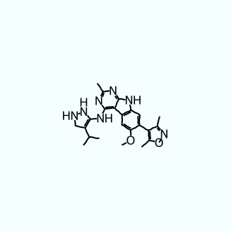 COc1cc2c(cc1-c1c(C)noc1C)[nH]c1nc(C)nc(NC3=C(C(C)C)CNN3)c12